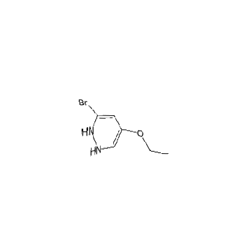 CCOC1=CNNC(Br)=C1